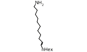 CCCCCCC=CCCCCCCCCCN